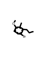 CCCc1c(Br)ccc(OC)c1C